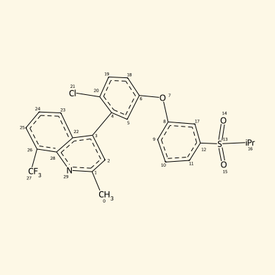 Cc1cc(-c2cc(Oc3cccc(S(=O)(=O)C(C)C)c3)ccc2Cl)c2cccc(C(F)(F)F)c2n1